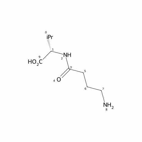 CC(C)[C@H](NC(=O)CCCN)C(=O)O